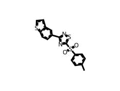 Cc1ccc(S(=O)(=O)c2nc(-c3ccc4sccc4c3)ns2)cc1